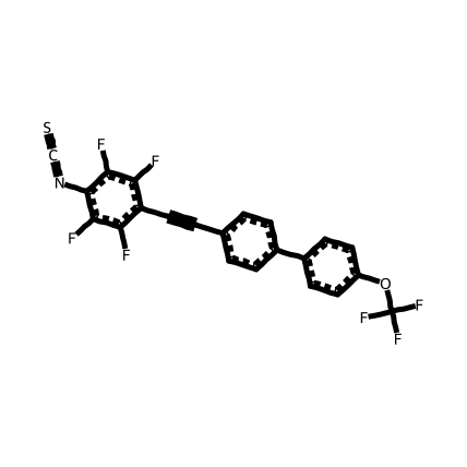 Fc1c(F)c(N=C=S)c(F)c(F)c1C#Cc1ccc(-c2ccc(OC(F)(F)F)cc2)cc1